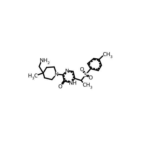 Cc1ccc(S(=O)(=O)C(C)c2cnc(N3CCC(C)(CN)CC3)c(=O)[nH]2)cc1